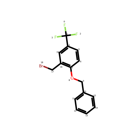 FC(F)(F)c1ccc(OCc2ccccc2)c(CBr)c1